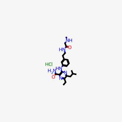 CCc1nc(C(N)=O)c(Nc2cccc(CCNC(=O)CNC)c2)nc1CC(C)C.Cl